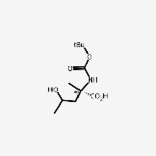 CC(O)C[C@@](C)(NC(=O)OC(C)(C)C)C(=O)O